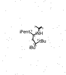 C=C(C)NC(CC(C(C)CC)C(C)(C)C)C(C)CCC